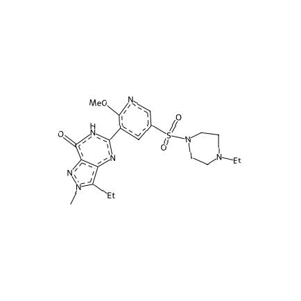 CCc1c2nc(-c3cc(S(=O)(=O)N4CCN(CC)CC4)cnc3OC)[nH]c(=O)c2nn1C